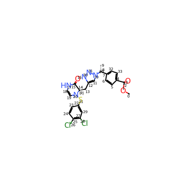 COC(=O)c1ccc([C@@H](C)n2cc(C[C@@H]3C(=O)NC=CN3Sc3ccc(Cl)c(Cl)c3)nn2)cc1